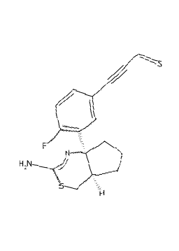 NC1=N[C@@]2(c3cc(C#CC=S)ccc3F)CCC[C@H]2CS1